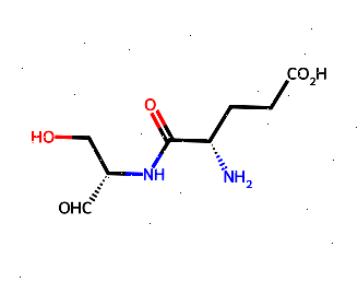 N[C@@H](CCC(=O)O)C(=O)N[C@H](C=O)CO